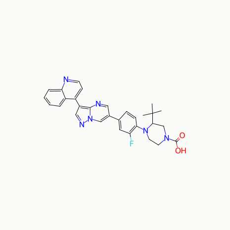 CC(C)(C)C1CN(C(=O)O)CCN1c1ccc(-c2cnc3c(-c4ccnc5ccccc45)cnn3c2)cc1F